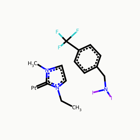 CCn1ccn(C)[c]1=[Pt].FC(F)(F)c1ccc(CN(I)I)cc1